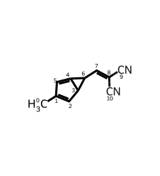 CC1=CC2C(=C1)C2C=C(C#N)C#N